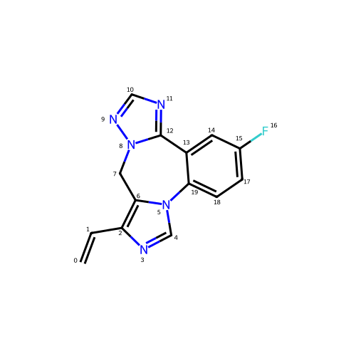 C=Cc1ncn2c1Cn1ncnc1-c1cc(F)ccc1-2